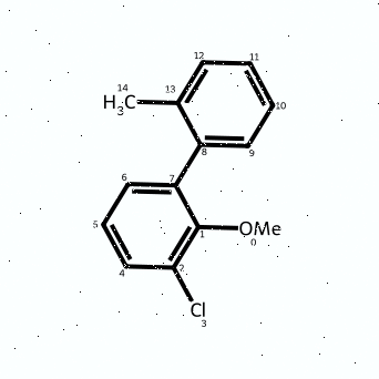 COc1c(Cl)cccc1-c1ccccc1C